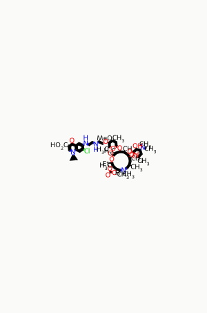 CC[C@H]1OC(=O)[C@H](C)[C@@H](OC2C[C@@](C)(OC)[C@@H](OCCNCCNc3cc4c(=O)c(C(=O)O)cn(C5CC5)c4cc3Cl)[C@H](C)O2)[C@H](C)[C@@H](O[C@@H]2O[C@H](C)C[C@H](N(C)C)[C@H]2O)[C@](C)(O)C[C@@H](C)CN(C)[C@H](C)[C@@H]2OC(=O)O[C@]12C